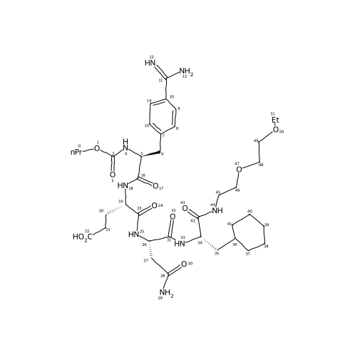 CCCOC(=O)N[C@@H](Cc1ccc(C(=N)N)cc1)C(=O)N[C@@H](CCC(=O)O)C(=O)N[C@@H](CC(N)=O)C(=O)N[C@@H](CC1CCCCC1)C(=O)NCCOCCOCC